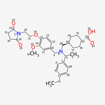 CCc1ccc(C(C)N(Cc2ccc(OCCN3C(=O)CCC3=O)c(OC)c2)C[C@H]2CC[C@H](C(=O)O)CC2)cc1